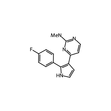 CNc1nccc(-c2cc[nH]c2-c2ccc(F)cc2)n1